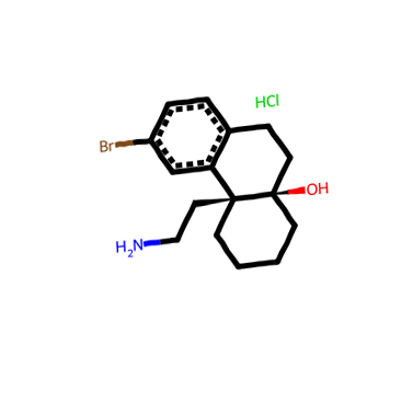 Cl.NCC[C@]12CCCC[C@@]1(O)CCc1ccc(Br)cc12